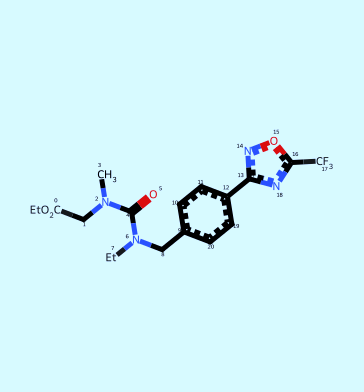 CCOC(=O)CN(C)C(=O)N(CC)Cc1ccc(-c2noc(C(F)(F)F)n2)cc1